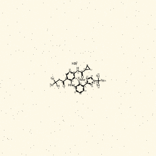 Br.[2H]C([2H])([2H])CC(=O)c1cnc(NC(=O)C2CC2)cc1Nc1cccc(-c2ncn(C([2H])([2H])[2H])n2)c1OC